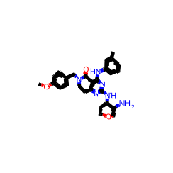 COc1ccc(CN2CCc3nc(NC4CCOCC4N)nc(Nc4cccc(C)c4)c3C2=O)cc1